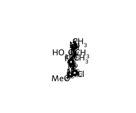 COc1cnc2c(-c3nc4cc(F)c(O[C@@H](C)[C@@H](C)N(C(=O)O)c5cnc(C)nc5)cc4s3)cc(Cl)cc2c1